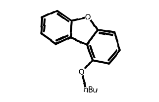 CCCCOc1cccc2oc3ccccc3c12